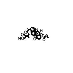 CC1=C(CO)C(=O)O[C@@H]([C@@H](C)[C@H]2CC[C@H]3[C@@H]4C[C@H]5O[C@]56[C@@H](OC(=O)N(C)C)C=CC(=O)[C@]6(C)[C@H]4CC[C@]23C)C1